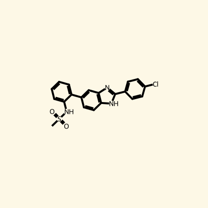 CS(=O)(=O)Nc1ccccc1-c1ccc2[nH]c(-c3ccc(Cl)cc3)nc2c1